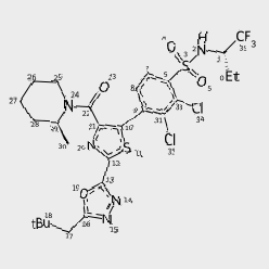 CC[C@H](NS(=O)(=O)c1ccc(-c2sc(-c3nnc(CC(C)(C)C)o3)nc2C(=O)N2CCCC[C@@H]2C)c(Cl)c1Cl)C(F)(F)F